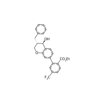 CCOC(=O)c1ccc(C(F)(F)F)cc1-c1ccc2c(c1)OC[C@H](Cc1ccccc1)[C@H]2O